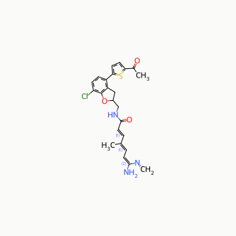 C=N\C(N)=C/C=C(C)/C=C/C(=O)NCC1Cc2c(-c3ccc(C(C)=O)s3)ccc(Cl)c2O1